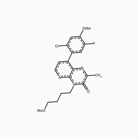 COCCCCn1c(=O)c(C)nc2c(-c3cc(F)c(OC)cc3Cl)ccnc21